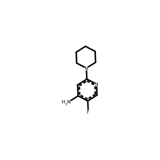 Nc1cc(N2CCCCC2)ncc1F